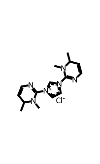 CC1C=CN=C(n2cc[n+](C3=NC=CC(C)N3C)c2)N1C.[Cl-]